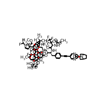 COC(=O)N[C@H](C(=O)N[C@@H](Cc1ccc(C#Cc2cnc(N3CC4CCC(C3)N4C3COC3)nc2)cc1)[C@H](CN(Cc1c(F)cc(-c2ccn(C(F)F)n2)cc1F)NC(=O)[C@@H](NC(=O)OC)C(C)(C)C(F)(F)F)OC(=O)CC(C)(C)c1c(CC(=O)N2C[C@H]3[C@@H]([C@H]2C(=O)OC)C3(C)C)cc(C)cc1OP(=O)(O)O)C(C)(C)C(F)(F)F